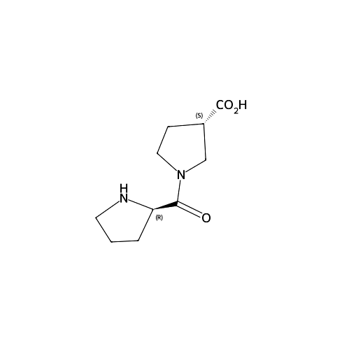 O=C(O)[C@H]1CCN(C(=O)[C@H]2CCCN2)C1